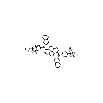 CC(C)(C)C1=CC=C(N(c2ccc3ccccc3c2)c2ccc3ccc4c(N(c5ccc(C(C)(C)C)cc5)c5ccc6ccccc6c5)ccc5ccc2c3c54)CC1